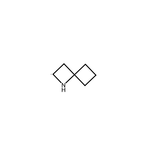 [CH]1CC2(CCC2)N1